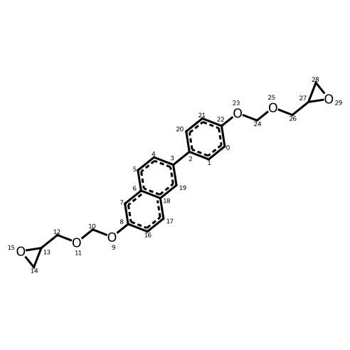 c1cc(-c2ccc3cc(OCOCC4CO4)ccc3c2)ccc1OCOCC1CO1